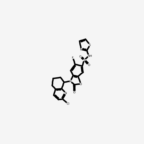 O=c1oc2cc(S(=O)(=O)Nc3nccs3)c(F)cc2n1C1CCCc2ccc(Cl)nc21